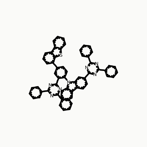 c1ccc(-c2nc(-c3ccccc3)nc(-c3ccc4c5ccccc5n(-c5ccc(-c6cccc7c6sc6ccccc67)cc5-c5nc(-c6ccccc6)nc(-c6ccccc6)n5)c4c3)n2)cc1